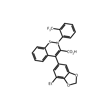 CCc1cc(C2=C(C(=O)O)N(c3ccccc3C(F)(F)F)Sc3ccccc32)cc2c1OCO2